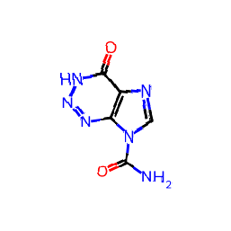 NC(=O)n1cnc2c(=O)[nH]nnc21